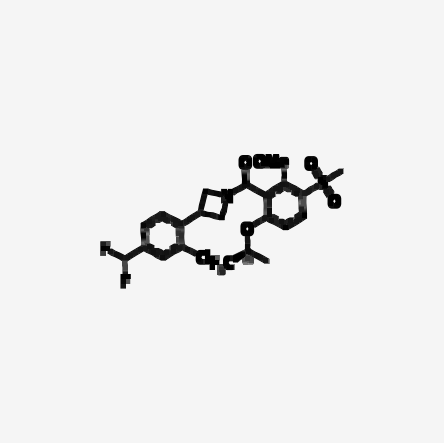 COc1c(S(C)(=O)=O)ccc(O[C@@H](C)C(F)(F)F)c1C(=O)N1CC(c2ccc(C(F)F)cc2Cl)C1